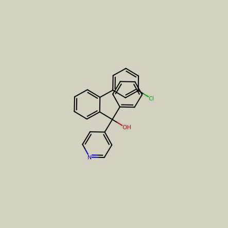 OC(c1ccccc1)(c1ccncc1)c1ccccc1-c1cccc(Cl)c1